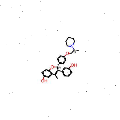 CC1=C(c2cccc(O)c2)[C@H](c2ccc(OC[C@H](C)N3CCCCC3)cc2)Oc2ccc(O)cc21